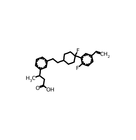 C=Cc1ccc(F)c(C2(F)CCC(CCc3cccc(C(C)CC(=O)O)c3)CC2)c1